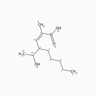 CCCCCC(C=C(C)C(=O)O)C(C)O